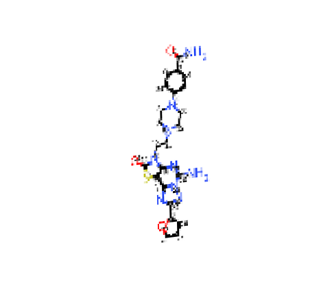 NC(=O)c1ccc(N2CCN(CCn3c(=O)sc4c3nc(N)n3nc(-c5ccco5)nc43)CC2)cc1